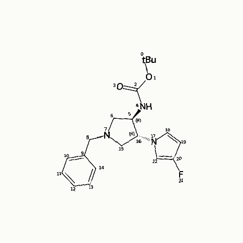 CC(C)(C)OC(=O)N[C@@H]1CN(Cc2ccccc2)C[C@H]1n1ccc(F)c1